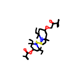 C=C(C)C(=O)COC1CC(C)(CC)N(SSN2C(C)(CC)CC(OC(=O)C(=C)C)CC2(C)CC)C(C)(CC)C1